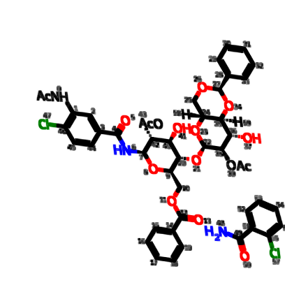 CC(=O)Nc1cc(C(=O)N[C@@H]2O[C@H](COC(=O)c3ccccc3)[C@@H](O[C@H]3O[C@@H]4CO[C@@H](c5ccccc5)O[C@H]4[C@H](O)[C@H]3OC(C)=O)[C@H](O)[C@H]2OC(C)=O)ccc1Cl.NC(=O)c1ccccc1Cl